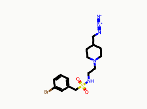 [N-]=[N+]=NCC1CCN(CCNS(=O)(=O)Cc2cccc(Br)c2)CC1